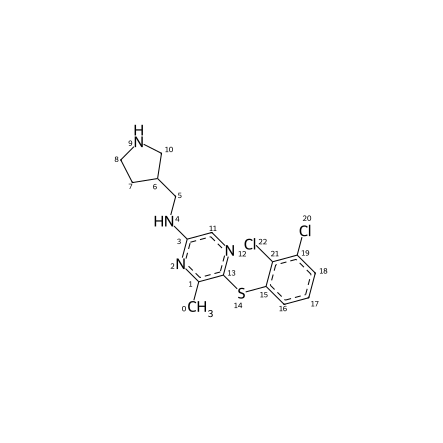 Cc1nc(NCC2CCNC2)cnc1Sc1cccc(Cl)c1Cl